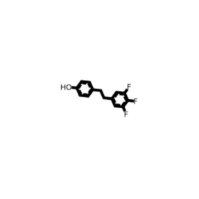 Oc1ccc(CCc2cc(F)c(F)c(F)c2)cc1